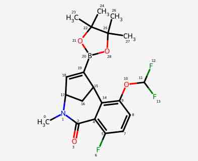 CN1C(=O)c2c(F)ccc(OC(F)F)c2C2CC1C=C2B1OC(C)(C)C(C)(C)O1